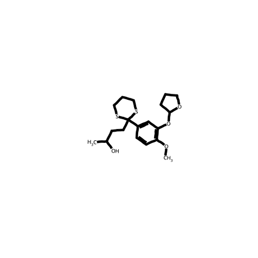 COc1ccc(C2(CCC(C)O)SCCCS2)cc1OC1CCCO1